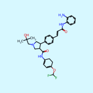 CC(C)(O)CN1CC(C(=O)NC2=CC=C(OC(F)F)CC2)C(c2ccc(/C=C/C(=O)Nc3ccccc3N)cc2)C1